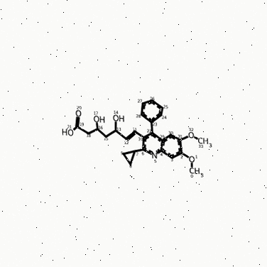 COc1cc2nc(C3CC3)c(/C=C/C(O)CC(O)CC(=O)O)c(-c3ccccc3)c2cc1OC